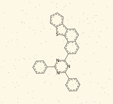 c1ccc(-c2nc(-c3ccccc3)nc(-c3ccc4ccc5c6ccccc6sc5c4c3)n2)cc1